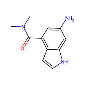 CN(C)C(=O)c1cc(N)cc2[nH]ccc12